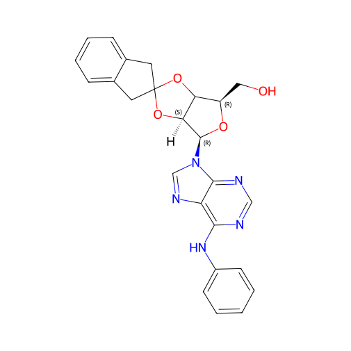 OC[C@H]1O[C@@H](n2cnc3c(Nc4ccccc4)ncnc32)[C@H]2OC3(Cc4ccccc4C3)OC12